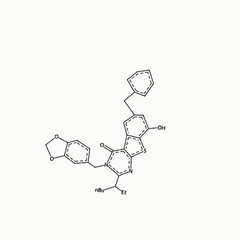 CCCCC(CC)c1nc2sc3c(O)cc(Cc4ccccc4)cc3c2c(=O)n1Cc1ccc2c(c1)OCO2